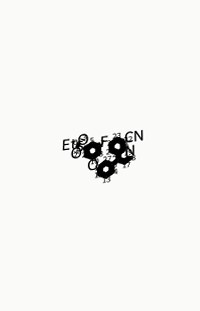 CCS(=O)(=O)c1cc(F)cc(Oc2cccc(-c3ccnc4c(C#N)cccc34)c2)c1